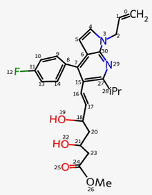 C=CCn1ccc2c(-c3ccc(F)cc3)c(C=CC(O)CC(O)CC(=O)OC)c(C(C)C)nc21